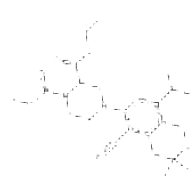 CCOC(=O)C1CN(c2nc(C(C)C)c3c(c2C#N)CC(C)(C)OC3)CCN1C(=O)OC